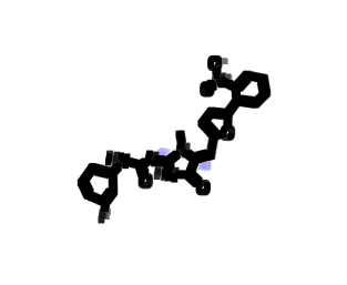 CN1/C(=C\c2ccc(-c3ccccc3[N+](=O)[O-])o2)C(=O)N/C1=N\C(=O)Nc1cccc(F)c1